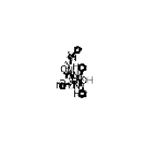 CC(C)[C@H](NC(=O)N(C)Cc1csc(C2CCCC2)n1)C(=O)N[C@@H](Cc1ccccc1)C[C@H](O)[C@H](Cc1ccccc1)NC(=O)OCc1ccno1